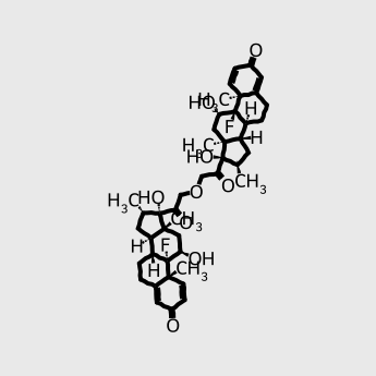 C[C@@H]1C[C@H]2[C@@H]3CCC4=CC(=O)C=C[C@]4(C)[C@@]3(F)[C@@H](O)C[C@]2(C)[C@@]1(O)C(=O)COCC(=O)[C@]1(O)[C@@H](C)C[C@@H]2[C@H]3CCC4=CC(=O)C=C[C@@]4(C)[C@]3(F)[C@H](O)C[C@]21C